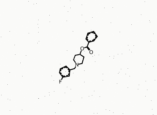 O=C(OC1CCN(Cc2cccc(F)c2)CC1)c1ccccc1